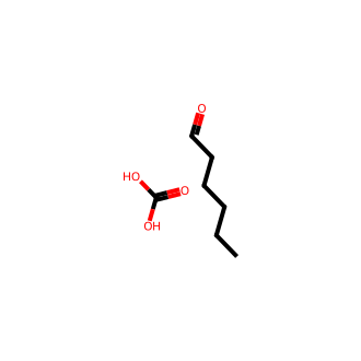 CCCCCC=O.O=C(O)O